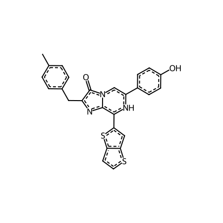 Cc1ccc(Cc2nc3c(-c4cc5sccc5s4)[nH]c(-c4ccc(O)cc4)cn-3c2=O)cc1